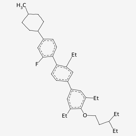 CCc1cc(-c2cc(CC)c(OCCC(CC)CC)c(CC)c2)ccc1-c1ccc(C2CCC(C)CC2)cc1F